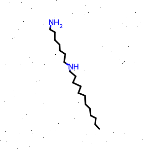 CCCCCCCCCCCCNCCCCCCCN